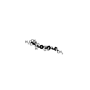 CCN1CCC(COc2ccc(C(=O)Nc3ccc(CC(=O)Nc4cc(C(C)(C)C)on4)cc3)nc2)C1